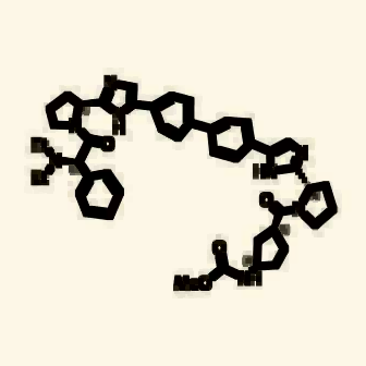 CCN(CC)[C@@H](C(=O)N1CCC[C@H]1c1ncc(-c2ccc(-c3ccc(-c4cnc([C@@H]5CCCN5C(=O)[C@H]5CC[C@@H](NC(=O)OC)C5)[nH]4)cc3)cc2)[nH]1)c1ccccc1